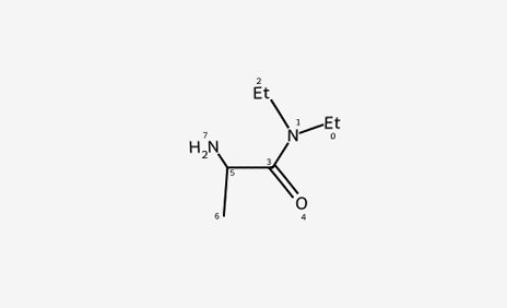 CCN(CC)C(=O)C(C)N